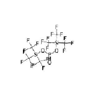 O=[PH](O[Si](C(F)(F)F)(C(F)(F)F)C(F)(F)F)O[Si](C(F)(F)F)(C(F)(F)F)C(F)(F)F